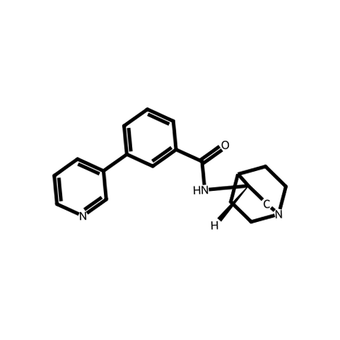 O=C(N[C@H]1CN2CCC1CC2)c1cccc(-c2cccnc2)c1